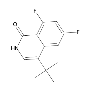 CC(C)(C)c1c[nH]c(=O)c2c(F)cc(F)cc12